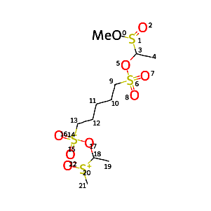 COS(=O)C(C)OS(=O)(=O)CCCCCS(=O)(=O)OC(C)[S+](C)[O-]